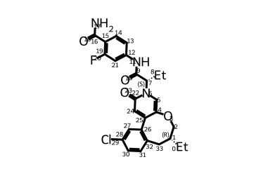 CC[C@H]1COc2cn([C@@H](CC)C(=O)Nc3ccc(C(N)=O)c(F)c3)c(=O)cc2-c2cc(Cl)ccc2C1